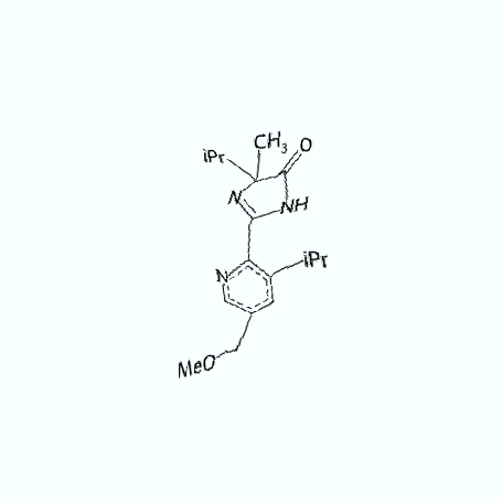 COCc1cnc(C2=NC(C)(C(C)C)C(=O)N2)c(C(C)C)c1